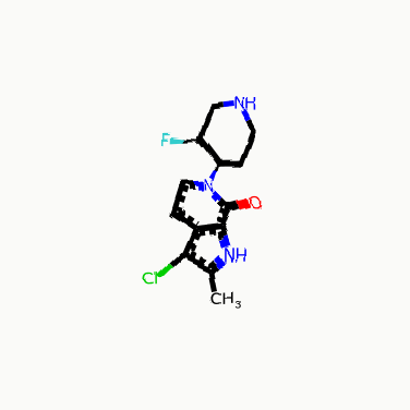 Cc1[nH]c2c(=O)n([C@@H]3CCNC[C@@H]3F)ccc2c1Cl